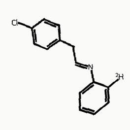 [2H]c1ccccc1/N=C/Cc1ccc(Cl)cc1